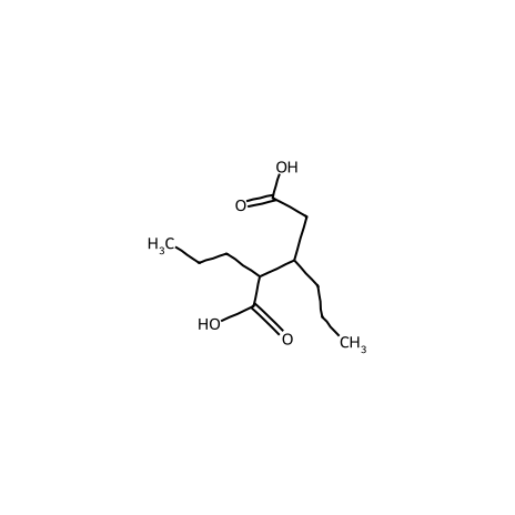 CCCC(CC(=O)O)C(CCC)C(=O)O